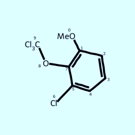 COc1cccc(Cl)c1OC(Cl)(Cl)Cl